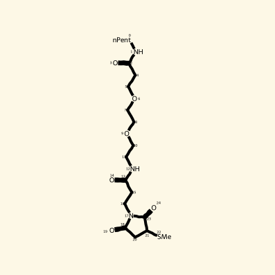 CCCCCNC(=O)CCOCCOCCNC(=O)CCN1C(=O)CC(SC)C1=O